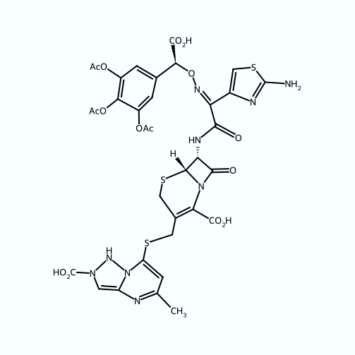 CC(=O)Oc1cc([C@H](ON=C(C(=O)N[C@@H]2C(=O)N3C(C(=O)O)=C(CSC4=CC(C)=NC5=CN(C(=O)O)NN54)CS[C@H]23)c2csc(N)n2)C(=O)O)cc(OC(C)=O)c1OC(C)=O